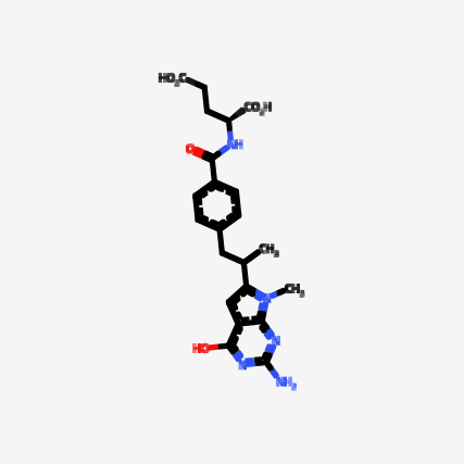 CC(Cc1ccc(C(=O)N[C@@H](CCC(=O)O)C(=O)O)cc1)c1cc2c(O)nc(N)nc2n1C